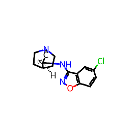 Clc1ccc2onc(N[C@@H]3CN4CCC3CC4)c2c1